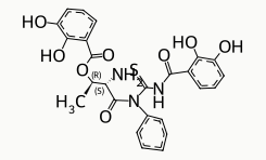 C[C@@H](OC(=O)c1cccc(O)c1O)[C@H](N)C(=O)N(C(=S)NC(=O)c1cccc(O)c1O)c1ccccc1